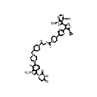 Cn1nc(N2CCC(=O)NC2=O)c2ccc(N3CCN(CC4CCN(C(=O)COC(=O)N5CCC(c6cnc(-c7c(-c8nn(C(C)(C)C)c9ncnc(N)c89)noc7C7CC7)nc6)CC5)CC4)CC3)c(F)c21